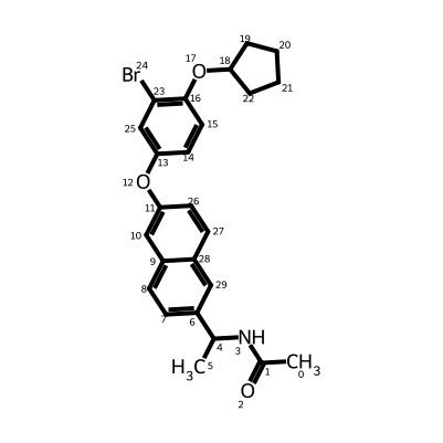 CC(=O)NC(C)c1ccc2cc(Oc3ccc(OC4CCCC4)c(Br)c3)ccc2c1